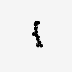 Cc1cc(-c2ccc3ccc4cccnc4c3n2)c(C)cc1-c1ccc2c(c1)c1ccccc1c1cc3c(cc21)C(C)(C)c1cc(-c2ccc4c5ccccc5c5cccnc5c4n2)ccc1-3